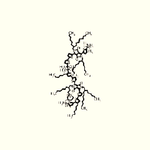 CCCCCCCCC(CCCCCC)CN1C(=O)C2=C(c3ccc(C(C)(C)N)s3)N(CC(CCCCCC)CCCCCCCC)C(=O)C2=C1c1ccc(-c2ccc(C(C)(C)C(C)(C)c3sc(-c4ccc(C5=C6C(=O)N(CC(CCCCCC)CCCCCCCC)C(c7ccc(-c8cc(CCCCCC)c(-c9ccc(C(C)(C)N)s9)s8)s7)=C6C(=O)N5CC(CCCCCC)CCCCCCCC)s4)cc3CCCCCC)s2)s1